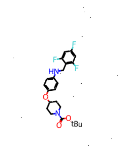 CC(C)(C)OC(=O)N1CCC(Oc2ccc(NCc3c(F)cc(F)cc3F)cc2)CC1